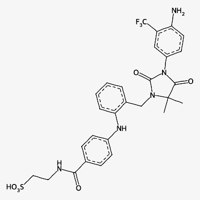 CC1(C)C(=O)N(c2ccc(N)c(C(F)(F)F)c2)C(=O)N1Cc1ccccc1Nc1ccc(C(=O)NCCS(=O)(=O)O)cc1